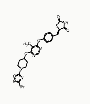 Cc1c(Oc2ccc(/C=C3\SC(=O)NC3=O)cc2)ncnc1OC1CCN(c2nc(C(C)C)no2)CC1